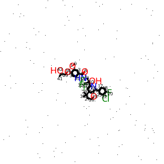 COc1cc(C(=O)NCC(O)(c2cc3c(c(-c4ccc(F)c(Cl)c4)n2)OCCC3(C)C)C(F)(F)F)ccc1OCC(C)O